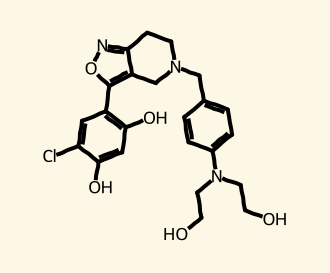 OCCN(CCO)c1ccc(CN2CCc3noc(-c4cc(Cl)c(O)cc4O)c3C2)cc1